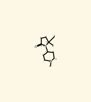 CN1CCC(N2C(=O)CCC2(C)C)CC1